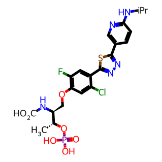 CC(C)Nc1ccc(-c2nnc(-c3cc(F)c(OC[C@H](NC(=O)O)[C@@H](C)OP(=O)(O)O)cc3Cl)s2)cn1